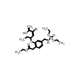 C=C(O)/C(Br)=C\C(CC)Oc1cc(CNP(=O)(OCC)OCC)ccc1CC(=O)OCC